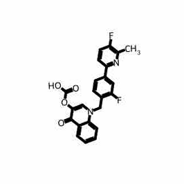 Cc1nc(-c2ccc(Cn3cc(OC(=O)O)c(=O)c4ccccc43)c(F)c2)ccc1F